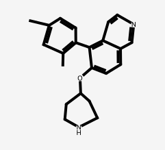 Cc1ccc(-c2c(OC3CCNCC3)ccc3cnccc23)c(C)c1